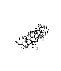 CC(C)CCN(C)Cc1cc(O)c2c(c1C(F)(F)F)C[C@H]1C[C@H]3[C@H](N(C)C)C(O)=C(C(N)=O)C(=O)[C@@]3(O)C(O)=C1C2=O